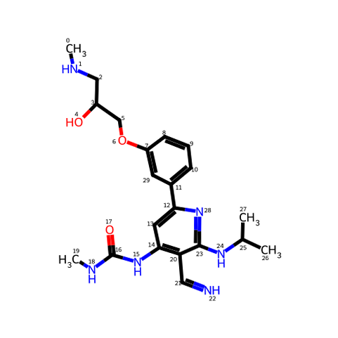 CNCC(O)COc1cccc(-c2cc(NC(=O)NC)c(C=N)c(NC(C)C)n2)c1